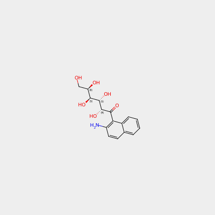 Nc1ccc2ccccc2c1C(=O)[C@H](O)[C@@H](O)[C@@H](O)[C@H](O)CO